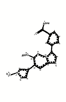 CNC(=O)c1cccc(-c2cnc3cc(-c4cnn(C)c4)c(OC)nn23)c1